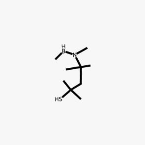 CBN(C)C(C)(C)CC(C)(C)S